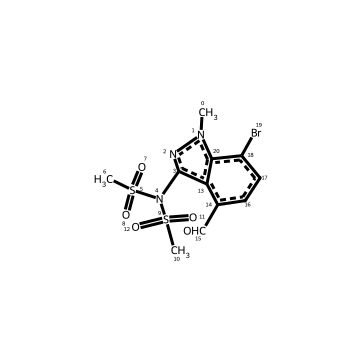 Cn1nc(N(S(C)(=O)=O)S(C)(=O)=O)c2c(C=O)ccc(Br)c21